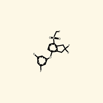 O=S(=O)(CF)c1ccc(Oc2cc(F)cc(F)c2)c2c1CC(F)(F)C2